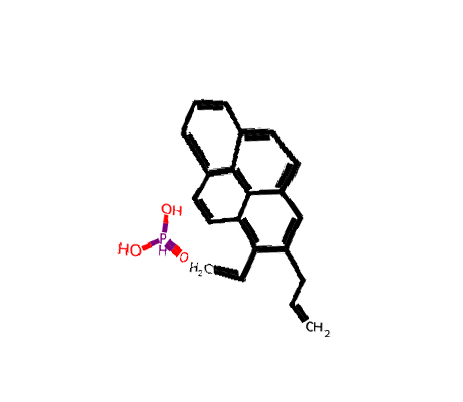 C=CCc1cc2ccc3cccc4ccc(c1C=C)c2c34.O=[PH](O)O